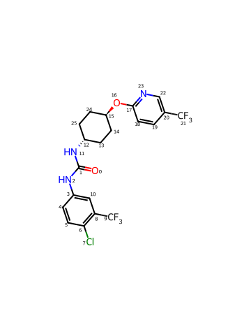 O=C(Nc1ccc(Cl)c(C(F)(F)F)c1)N[C@H]1CC[C@H](Oc2ccc(C(F)(F)F)cn2)CC1